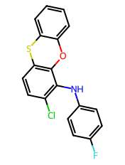 Fc1ccc(Nc2c(Cl)ccc3c2Oc2ccccc2S3)cc1